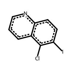 Clc1c(I)ccc2ncccc12